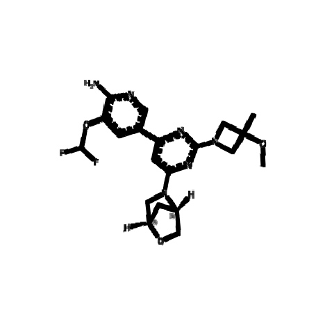 COC1(C)CN(c2nc(-c3cnc(N)c(OC(F)F)c3)cc(N3C[C@@H]4C[C@H]3CO4)n2)C1